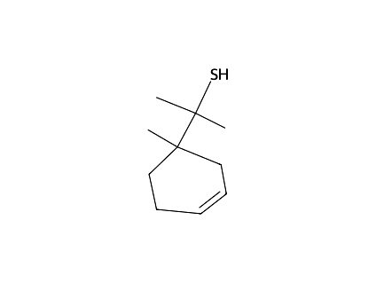 CC(C)(S)C1(C)CC=CCC1